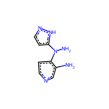 Nc1cnccc1N(N)c1ccn[nH]1